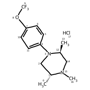 C[C@@H]1CN(c2ccc(OC(F)(F)F)cc2)[C@@H](C)CN1C.Cl